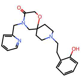 O=C1COC2(CCN(CCc3ccccc3O)CC2)CN1Cc1ccccn1